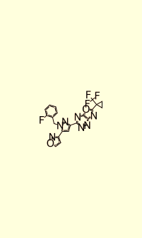 Fc1ccccc1Cn1nc(-c2nnc3nc(C4(C(F)(F)F)CC4)oc3n2)cc1-c1ccon1